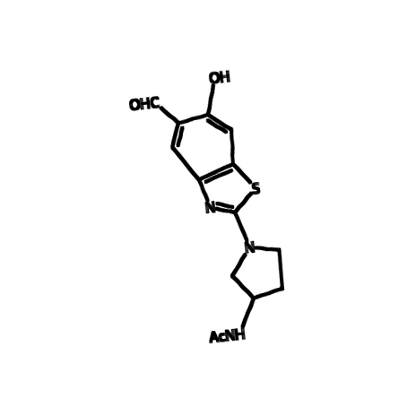 CC(=O)NC1CCN(c2nc3cc(C=O)c(O)cc3s2)C1